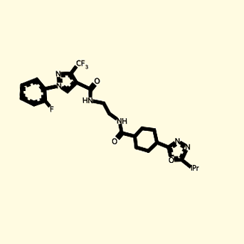 CC(C)c1nnc(C2CCC(C(=O)NCCNC(=O)c3cn(-c4ccccc4F)nc3C(F)(F)F)CC2)o1